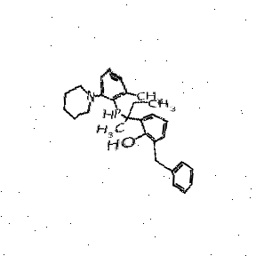 CCC(C)(Pc1c(C)cccc1N1CCCCC1)c1cccc(Cc2ccccc2)c1O